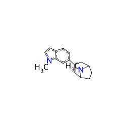 CN1C2C=C(c3ccc4ccn(C)c4c3)CC1CC2